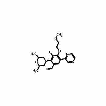 COCCOc1c(-c2cnccn2)cc(C=O)c(N2CC(C)OC(C)C2)c1F